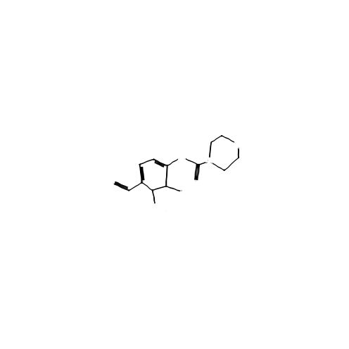 CC1C(C=O)=CC=C(OC(=O)N2CCOCC2)C1F